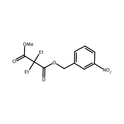 CCC(CC)(C(=O)OC)C(=O)OCc1cccc([N+](=O)[O-])c1